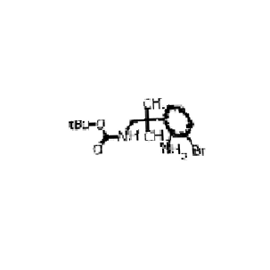 CC(C)(C)OC(=O)NCC(C)(C)c1cccc(Br)c1N